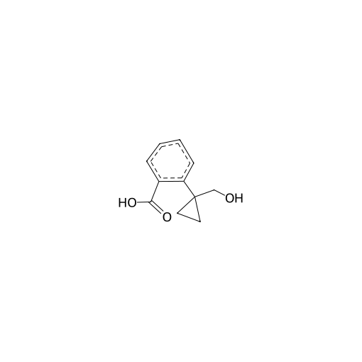 O=C(O)c1ccccc1C1(CO)CC1